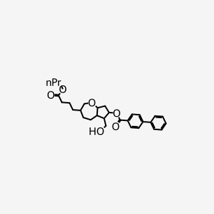 CCCOC(=O)CCCC1CCC2C(CC(OC(=O)c3ccc(-c4ccccc4)cc3)C2CO)OC1